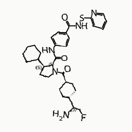 N[C@H](CF)[C@H]1CC[C@H](C(=O)N2CC[C@@H](C3CCCCC3)[C@H]2C(=O)Nc2ccc(C(=O)NSc3ccccn3)cc2)CC1